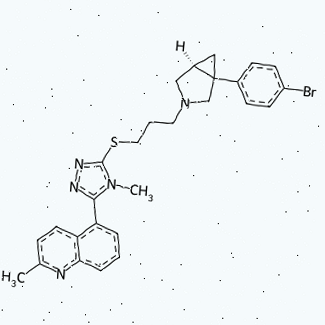 Cc1ccc2c(-c3nnc(SCCCN4C[C@H]5CC5(c5ccc(Br)cc5)C4)n3C)cccc2n1